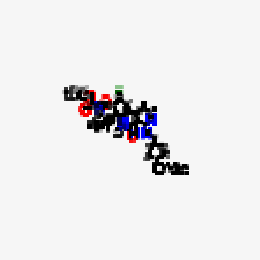 COc1ccc(CNc2nccc3c2c(=O)n(C)c2cc(ON(C(=O)OC(C)(C)C)C(C)CC(C)C)c(F)cc32)cc1